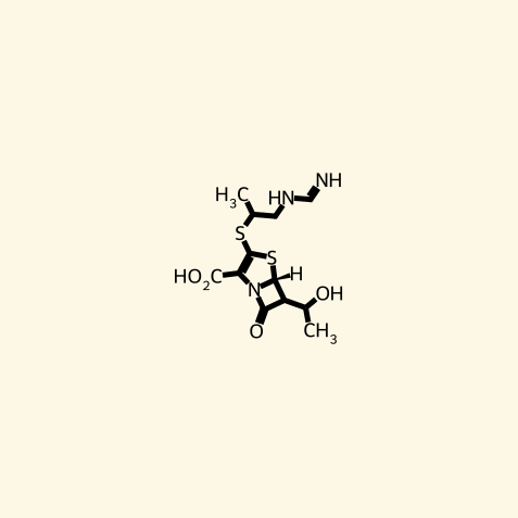 CC(CNC=N)SC1=C(C(=O)O)N2C(=O)C(C(C)O)[C@H]2S1